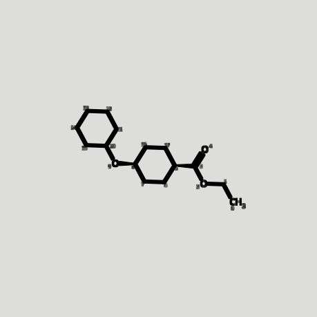 CCOC(=O)[C@H]1CC[C@@H](OC2CCCCC2)CC1